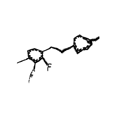 Cc1ccc(CCc2ccc(C)c(F)c2F)cc1